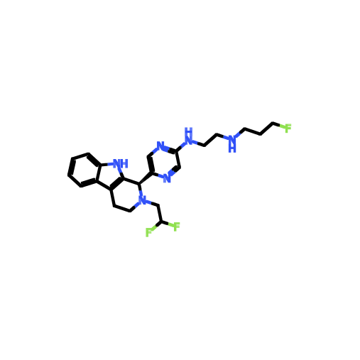 FCCCNCCNc1cnc([C@@H]2c3[nH]c4ccccc4c3CCN2CC(F)F)cn1